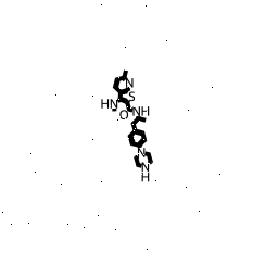 CNc1c(C(=O)NC(C)Cc2ccc(N3CCNCC3)cc2)sc2nc(C)ccc12